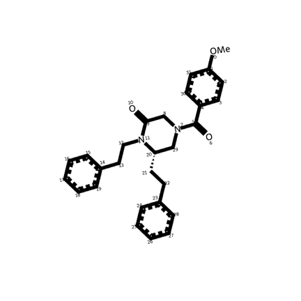 COc1ccc(C(=O)N2CC(=O)N(CCc3ccccc3)[C@@H](CCc3ccccc3)C2)cc1